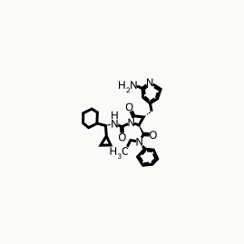 CCN(C(=O)[C@@H]1[C@@H](Cc2ccnc(N)c2)C(=O)N1C(=O)N[C@@H](C1CCCCC1)C1CC1)c1ccccc1